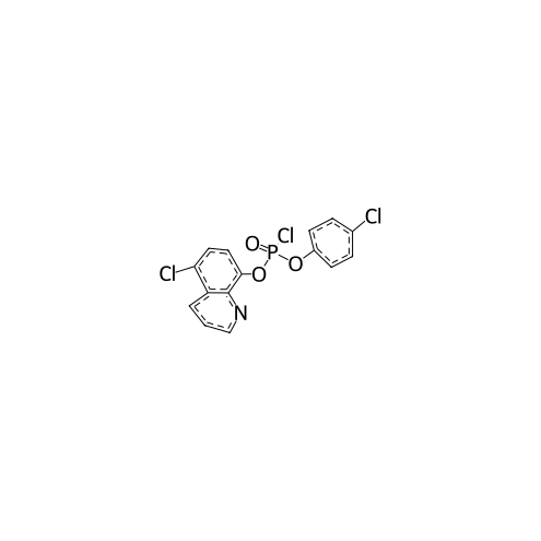 O=P(Cl)(Oc1ccc(Cl)cc1)Oc1ccc(Cl)c2cccnc12